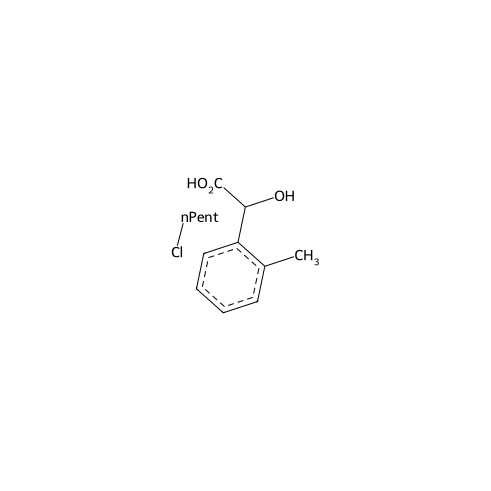 CCCCCCl.Cc1ccccc1C(O)C(=O)O